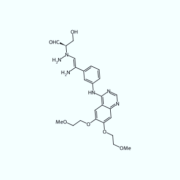 COCCOc1cc2ncnc(Nc3cccc(/C(N)=C/N(N)[C@@H](C=O)CO)c3)c2cc1OCCOC